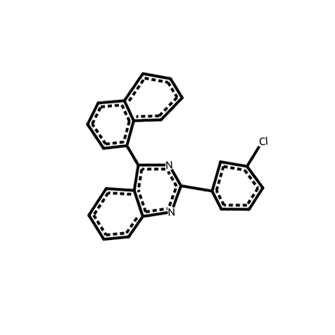 Clc1cccc(-c2nc(-c3cccc4ccccc34)c3ccccc3n2)c1